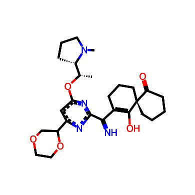 C[C@H](Oc1cc(C2COCCO2)nc(C(=N)C2=C(O)[C@]3(CCCCC3=O)CCC2)n1)[C@@H]1CCCN1C